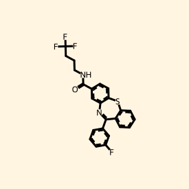 O=C(NCCCC(F)(F)F)c1ccc2c(c1)N=C(c1cccc(F)c1)c1ccccc1S2